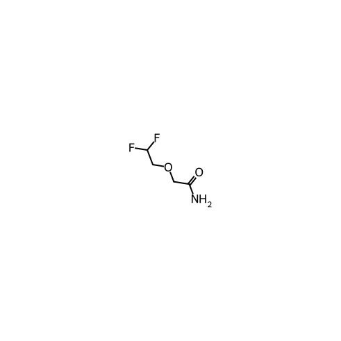 NC(=O)COCC(F)F